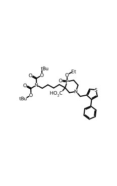 CCOP1(=O)CCN(Cc2cscc2-c2ccccc2)CC1(CCCCN(C(=O)OC(C)(C)C)C(=O)OC(C)(C)C)C(=O)O